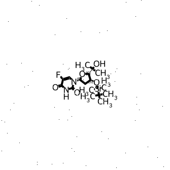 CC(C)(O)[C@H]1O[C@@H](n2cc(F)c(=O)[nH]c2=O)C[C@@H]1O[Si](C)(C)C(C)(C)C